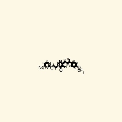 C=c1c(=O)n(CCOc2nccc(C#N)n2)nn/c1=C/C=C(\C)c1ccc(OC(F)(F)F)cc1